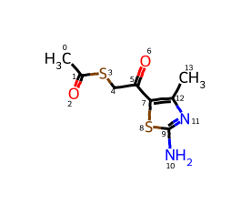 CC(=O)SCC(=O)c1sc(N)nc1C